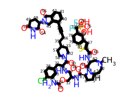 CN1CC[C@H]2CC[C@@H](C(=O)NC(COC(N)=O)C(=O)NC(Cc3ccc(Cl)cc3)C(=O)N3CCC(CCC#Cc4cccc5c4CN(C4CCC(=O)NC4=O)C5=O)CC3)N2C(=O)[C@@H](NC(=O)c2cc3cc(C(F)(F)P(=O)(O)O)ccc3s2)C1